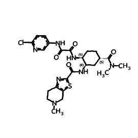 CN1CCc2nc(C(=O)N[C@@H]3C[C@@H](C(=O)N(C)C)CC[C@@H]3NC(=O)C(=O)Nc3ccc(Cl)nc3)sc2C1